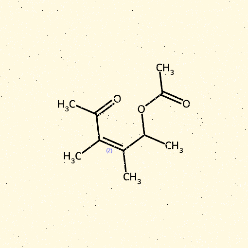 CC(=O)OC(C)/C(C)=C(/C)C(C)=O